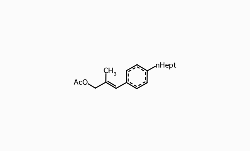 CCCCCCCc1ccc(/C=C(\C)COC(C)=O)cc1